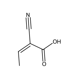 CC=C(C#N)C(=O)O